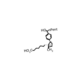 C=C1CC[C@H](c2ccc([C@@H](O)CCCCC)cc2)[C@H]1CCCCCCC(=O)O